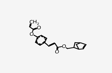 C=CC(=O)Oc1ccc(/C=C/C(=O)OCC2CC3C=CC2C3)cc1